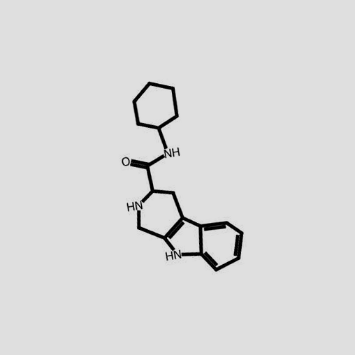 O=C(NC1CCCCC1)C1Cc2c([nH]c3ccccc23)CN1